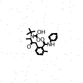 Cc1cccc(CC(=O)C(C)N(C(=O)O)C(C)(C)C)c1C(=O)Nc1ccccc1